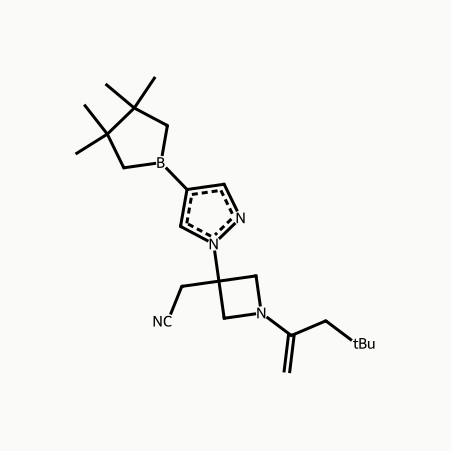 C=C(CC(C)(C)C)N1CC(CC#N)(n2cc(B3CC(C)(C)C(C)(C)C3)cn2)C1